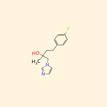 CC(O)(CCc1ccc(F)cc1)Cn1ccnc1